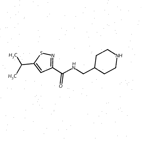 CC(C)c1cc(C(=O)NCC2CCNCC2)ns1